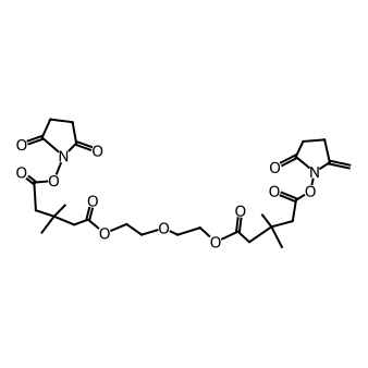 C=C1CCC(=O)N1OC(=O)CC(C)(C)CC(=O)OCCOCCOC(=O)CC(C)(C)CC(=O)ON1C(=O)CCC1=O